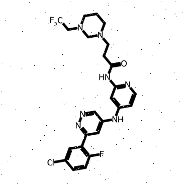 O=C(CCN1CCCN(CC(F)(F)F)C1)Nc1cc(Nc2cnnc(-c3cc(Cl)ccc3F)c2)ccn1